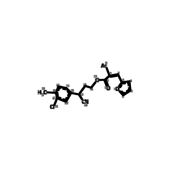 CC(=O)/C(=C/c1ccco1)C(=O)OCCC(C#N)c1ccc(C)c(Cl)c1